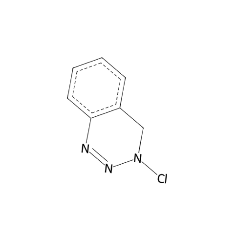 ClN1Cc2ccccc2N=N1